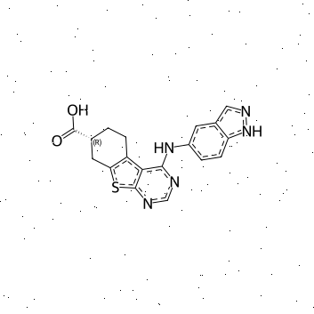 O=C(O)[C@@H]1CCc2c(sc3ncnc(Nc4ccc5[nH]ncc5c4)c23)C1